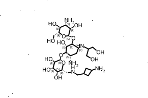 NC1CC(CNC[C@H]2O[C@H](OC3[C@@H](N)C[C@@H](NC(CO)CO)[C@H](O[C@H]4O[C@H](CO)[C@@H](O)[C@H](N)[C@H]4O)[C@H]3O)[C@H](O)[C@@H](O)[C@@H]2O)C1